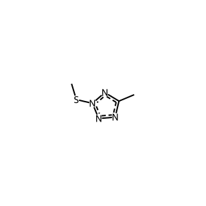 CSn1nnc(C)n1